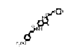 Cc1cc(NCCN2CCOCC2)nc2ccc(NC(=O)/C=C/c3ccc(OC(F)(F)F)cc3)cc12